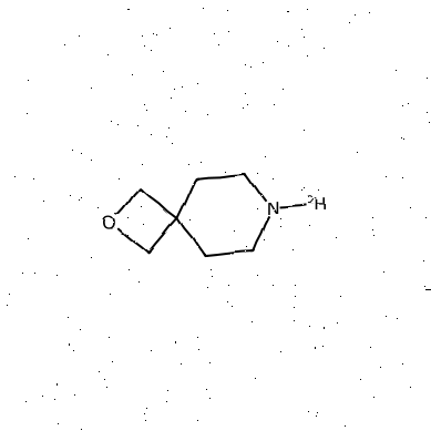 [2H]N1CCC2(CC1)COC2